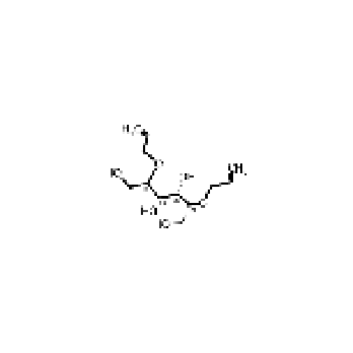 C=CCO[C@H](CO)[C@@H](O)[C@H](O)[C@@H](CO)OCC=C